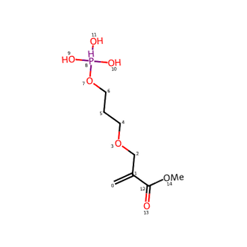 C=C(COCCCO[PH](O)(O)O)C(=O)OC